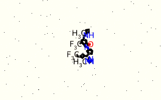 Cn1cnnc1[C@@H](c1cccc(N2Cc3c(cc(CNC4(C)CCC4)cc3C(F)(F)F)C2=O)c1)C1CC(CC(F)(F)F)C1